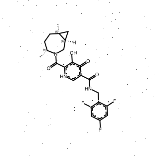 C[C@@H]1CC[C@@]2(C)C[C@H]2CN1C(=O)c1[nH]cc(C(=O)NCc2c(F)cc(F)cc2F)c(=O)c1O